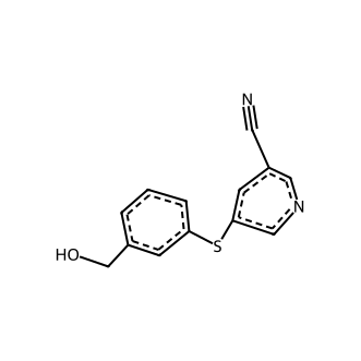 N#Cc1cncc(Sc2cccc(CO)c2)c1